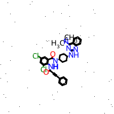 CN(C)c1nc(N[C@H]2CC[C@@H](NC(=O)c3cc(Cl)cc(Cl)c3NC(=O)C#Cc3ccccc3)CC2)nc2ccccc12